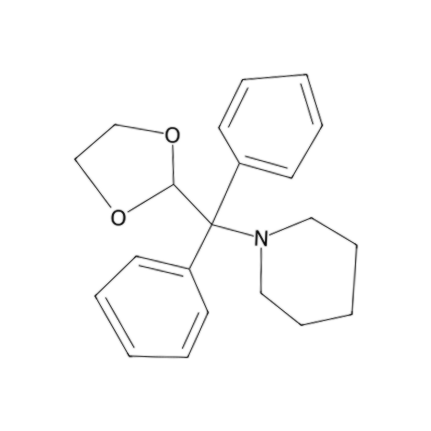 c1ccc(C(c2ccccc2)(C2OCCO2)N2CCCCC2)cc1